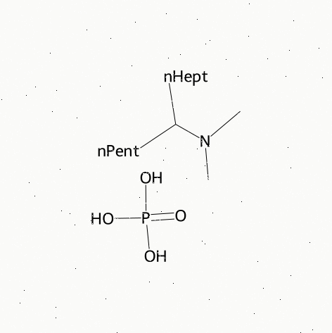 CCCCCCCC(CCCCC)N(C)C.O=P(O)(O)O